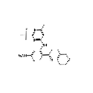 CC(=O)Nc1cc(Nc2cc(C)nc(C(C)(F)F)n2)c(-c2ccc3c(n2)CCOC3)cn1